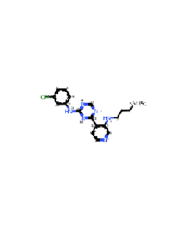 CC(=O)NCCCNc1cnccc1-c1ncnc(Nc2cccc(Cl)c2)n1